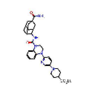 CCOC(=O)C1CCN(c2ccc(N3CCN(C(=O)NC4C5CC6CC4CC(C(N)=O)(C6)C5)c4ccccc43)nc2)CC1